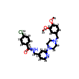 COc1ccc(CN2CCN(c3cc(CNC(=O)c4ccc(Cl)cc4)ccn3)CC2)cc1OC